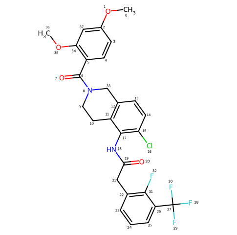 COc1ccc(C(=O)N2CCc3c(ccc(Cl)c3NC(=O)Cc3cccc(C(F)(F)F)c3F)C2)c(OC)c1